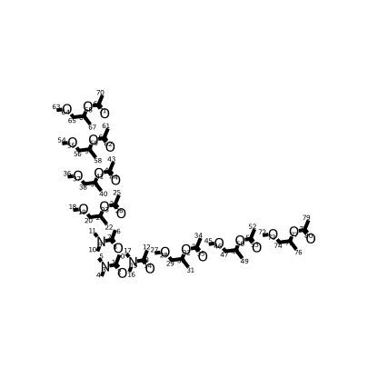 CC(=O)N(C)C.CC(=O)N(C)C.CC(=O)N(C)C.COCC(C)OC(C)=O.COCC(C)OC(C)=O.COCC(C)OC(C)=O.COCC(C)OC(C)=O.COCC(C)OC(C)=O.COCC(C)OC(C)=O.COCC(C)OC(C)=O